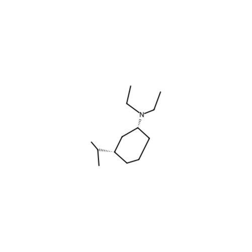 CCN(CC)[C@@H]1CCC[C@H](C(C)C)C1